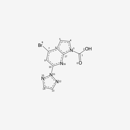 O=C(O)n1ccc2c(Br)cc(-n3nccn3)nc21